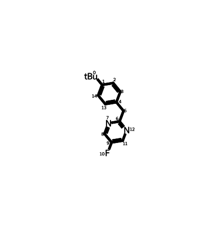 CC(C)(C)c1ccc(Cc2ncc(F)cn2)cc1